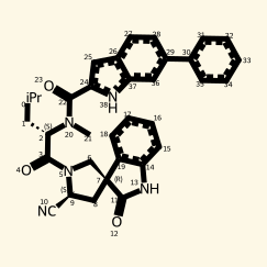 CC(C)C[C@@H](C(=O)N1C[C@]2(C[C@H]1C#N)C(=O)Nc1ccccc12)N(C)C(=O)c1cc2ccc(-c3ccccc3)cc2[nH]1